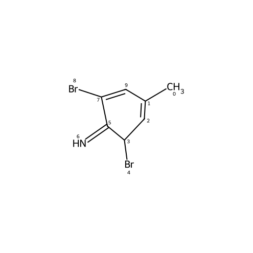 CC1=CC(Br)C(=N)C(Br)=C1